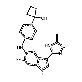 O=c1[nH]c(-c2c[nH]c3cc(F)c(Nc4ccc(C5(O)CCC5)cc4)nc23)no1